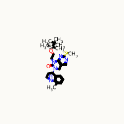 CSc1ncc2c(n1)N(CCO[Si](C)(C)C(C)(C)C)C(=O)N([C@H]1CCNc3c(C)cccc31)C2